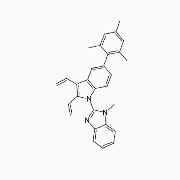 C=Cc1c(C=C)n(-c2nc3ccccc3n2C)c2ccc(-c3c(C)cc(C)cc3C)cc12